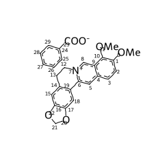 COc1ccc2cc3[n+](cc2c1OC)CCc1cc2c(cc1-3)OCO2.O=C([O-])c1ccccc1